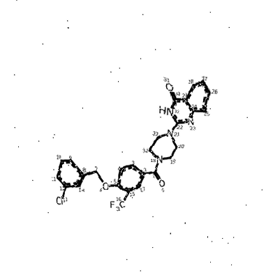 O=C(c1ccc(OCc2cccc(Cl)c2)c(C(F)(F)F)c1)N1CCN(c2nc3ccccc3c(=O)[nH]2)CC1